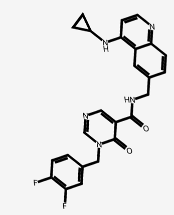 O=C(NCc1ccc2nccc(NC3CC3)c2c1)c1cncn(Cc2ccc(F)c(F)c2)c1=O